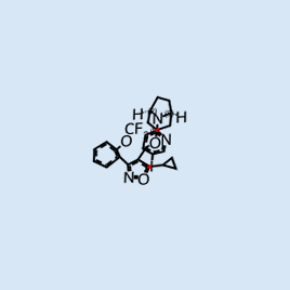 FC(F)(F)Oc1ccccc1-c1noc(C2CC2)c1CO[C@H]1C[C@H]2CC[C@@H](C1)N2c1ccc(I)cn1